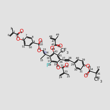 C=C(C)C(=O)Oc1ccc(C(=O)O/C=C(\C)c2c(F)c(OC(=O)C(=C)C)c(C#Cc3ccc(OC(=O)C(=C)C(F)(F)F)cc3)c(C(F)(F)F)c2OC(=O)C(=C)C)cc1